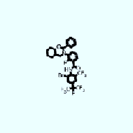 O=C(Nc1c(Br)cc(C(F)(C(F)(F)F)C(F)(F)F)cc1C(F)(F)F)c1cccc(N(CC2CCCCC2)C(=O)c2ccccc2)c1F